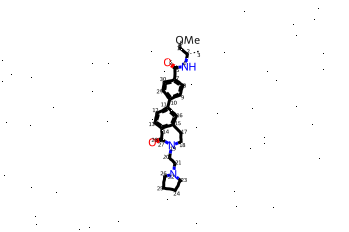 COC[C@H](C)NC(=O)c1ccc(-c2ccc3c(c2)CCN(CCN2CCCC2)C3=O)cc1